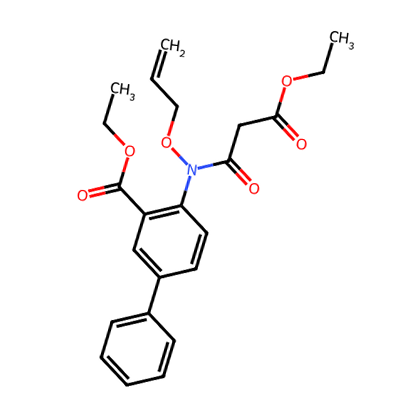 C=CCON(C(=O)CC(=O)OCC)c1ccc(-c2ccccc2)cc1C(=O)OCC